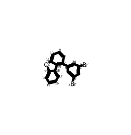 Brc1cc(Br)cc(-c2cccc3oc4ccccc4c23)c1